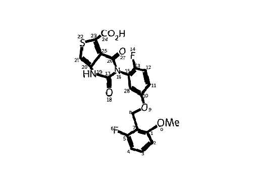 COc1cccc(F)c1COc1ccc(F)c(-n2c(=O)[nH]c3csc(C(=O)O)c3c2=O)c1